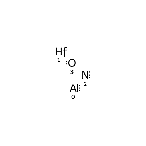 [Al].[Hf].[N].[O]